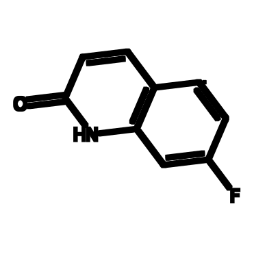 O=c1ccc2[c]cc(F)cc2[nH]1